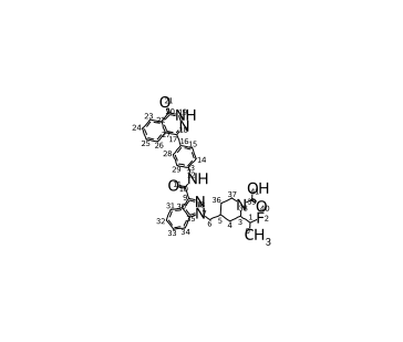 CC(F)C1CC(Cn2nc(C(=O)Nc3ccc(-c4n[nH]c(=O)c5ccccc45)cc3)c3ccccc32)CCN1C(=O)O